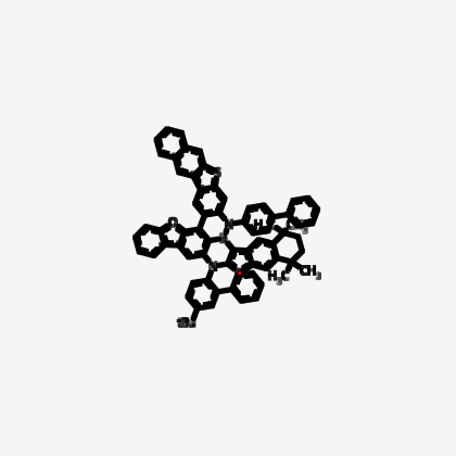 CC(C)(C)c1ccc(N2c3cc4c(oc5ccccc54)c4c3B(c3c2oc2cc5c(cc32)C(C)(C)CCC5(C)C)N(c2ccc(-c3ccccc3)cc2)c2cc3sc5cc6ccccc6cc5c3cc2-4)c(-c2ccccc2)c1